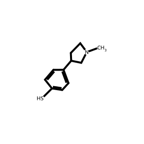 CN1CCC(c2ccc(S)cc2)C1